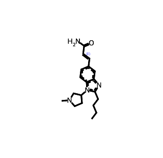 CCCCc1nc2cc(/C=C/C(N)=O)ccc2n1C1CCN(C)C1